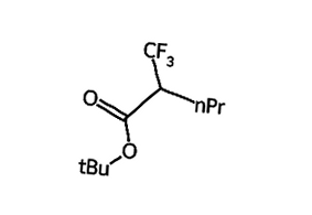 CCCC(C(=O)OC(C)(C)C)C(F)(F)F